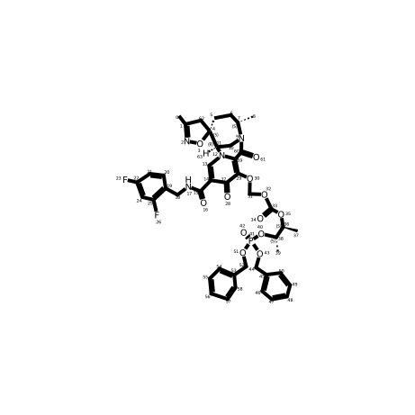 CC1=NO[C@@]2(CC[C@H](C)N3C[C@H]2n2cc(C(=O)NCc4ccc(F)cc4F)c(=O)c(OCOC(=O)O[C@@H](C)[C@H](C)OP(=O)(OCc4ccccc4)OCc4ccccc4)c2C3=O)C1